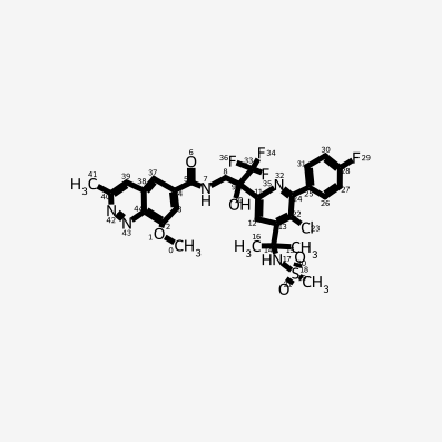 COc1cc(C(=O)NCC(O)(c2cc(C(C)(C)NS(C)(=O)=O)c(Cl)c(-c3ccc(F)cc3)n2)C(F)(F)F)cc2cc(C)nnc12